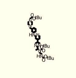 CC(c1ncc(-c2ccnc(Nc3cccc(CN4CCN(CC(=O)OC(C)(C)C)CC4)c3)c2)cn1)N(CCNC(=O)OC(C)(C)C)C(=O)OC(C)(C)C